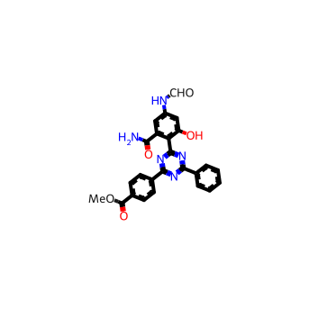 COC(=O)c1ccc(-c2nc(-c3ccccc3)nc(-c3c(O)cc(NC=O)cc3C(N)=O)n2)cc1